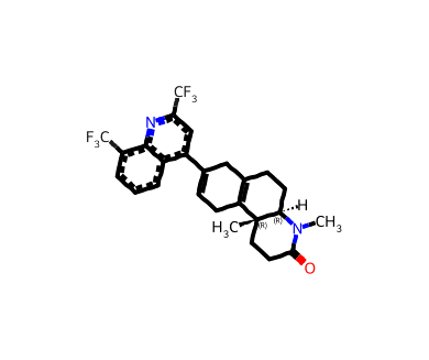 CN1C(=O)CC[C@]2(C)C3=C(CC[C@@H]12)CC(c1cc(C(F)(F)F)nc2c(C(F)(F)F)cccc12)=CC3